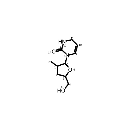 CC1CC(CO)OC1N1C=CCNC1=O